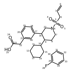 C=CCS(=O)(=O)N1CCC(C2CCCCC2)C(c2cccc(CC(=O)O)c2)C1.Fc1ccccc1